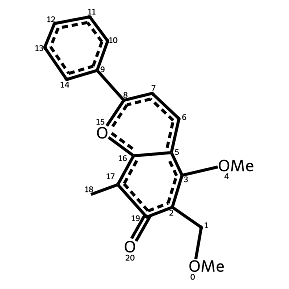 COCc1c(OC)c2ccc(-c3ccccc3)oc-2c(C)c1=O